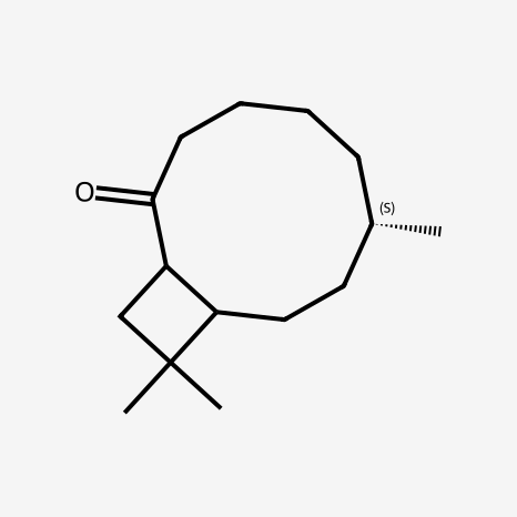 C[C@H]1CCCCC(=O)C2CC(C)(C)C2CC1